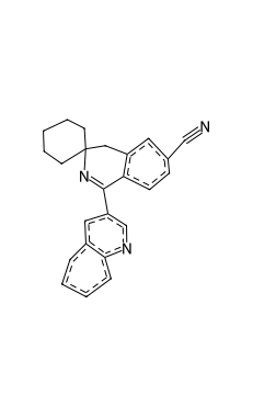 N#Cc1ccc2c(c1)CC1(CCCCC1)N=C2c1cnc2ccccc2c1